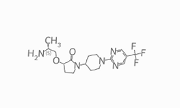 C[C@H](N)COC1CCN(C2CCN(c3ncc(C(F)(F)F)cn3)CC2)C1=O